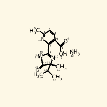 Cc1ccc(C(=O)O)c(C2=NC(C)(C(C)C)C(=O)N2)n1.N